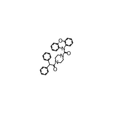 O=C(C(c1ccccc1)c1ccccc1)N1CCN(C(=O)N2c3ccccc3Oc3ccccc32)CC1